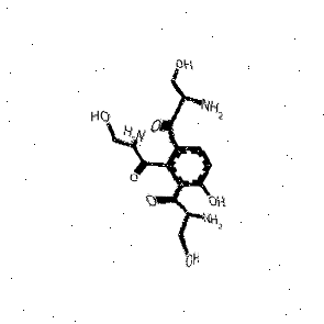 NC(CO)C(=O)c1ccc(O)c(C(=O)C(N)CO)c1C(=O)C(N)CO